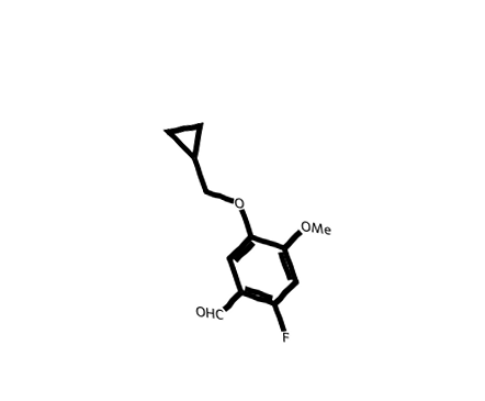 COc1cc(F)c(C=O)cc1OCC1CC1